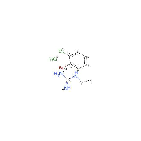 CCNC(=N)N.Cl.Clc1ccccc1Br